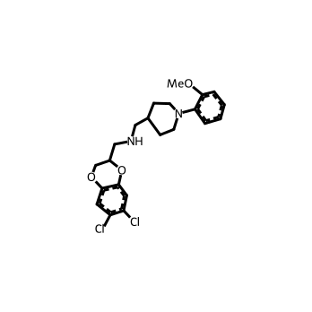 COc1ccccc1N1CCC(CNCC2COc3cc(Cl)c(Cl)cc3O2)CC1